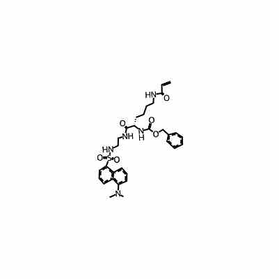 C=CC(=O)NCCCC[C@H](NC(=O)OCc1ccccc1)C(=O)NCCNS(=O)(=O)c1cccc2c(N(C)C)cccc12